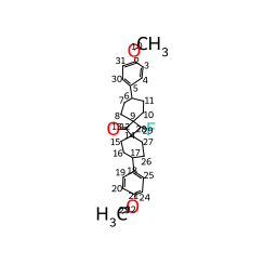 COc1ccc(C2CCC3(CC2)C(=O)C2(CCC(c4ccc(OC)cc4)CC2)C3F)cc1